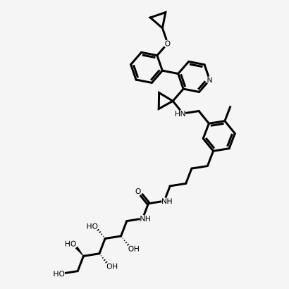 Cc1ccc(CCCCNC(=O)NC[C@H](O)[C@@H](O)[C@H](O)[C@H](O)CO)cc1CNC1(c2cnccc2-c2ccccc2OC2CC2)CC1